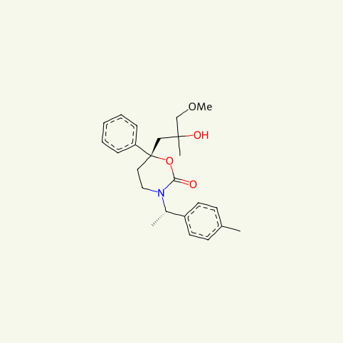 COCC(C)(O)C[C@]1(c2ccccc2)CCN([C@@H](C)c2ccc(C)cc2)C(=O)O1